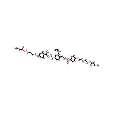 C=CC(=O)OCCCCCOc1ccc(C(=O)OCCc2ccc(CCOC(=O)c3ccc(OCCCCCOC(=O)C=C)cc3)c(C=N)c2)cc1